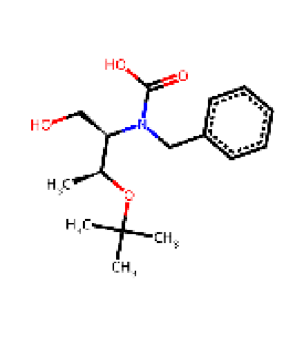 C[C@H](OC(C)(C)C)[C@@H](CO)N(Cc1ccccc1)C(=O)O